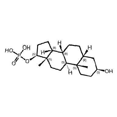 C[C@]12CC[C@H](O)C[C@H]1CC[C@H]1[C@H]3CC[C@H](OP(=O)(O)O)[C@@]3(C)CC[C@@H]12